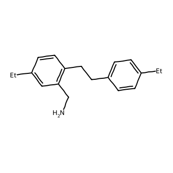 CCc1ccc(CCc2ccc(CC)cc2CN)cc1